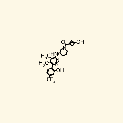 Cc1c(N[C@@H]2CCCN(C(=O)C34CC(O)(C3)C4)C2)nnc(-c2ccc(C(F)(F)F)cc2O)c1C